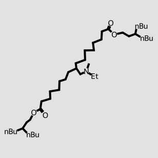 CCCCC(CCCC)CCOC(=O)CCCCCCCC(CCCCCCCC(=O)OCCC(CCCC)CCCC)CN(C)CC